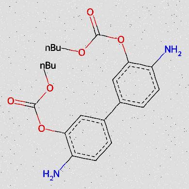 CCCCOC(=O)Oc1cc(-c2ccc(N)c(OC(=O)OCCCC)c2)ccc1N